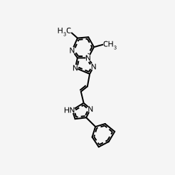 Cc1cc(C)n2nc(C=Cc3nc(-c4ccccc4)c[nH]3)nc2n1